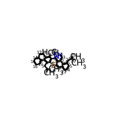 Cc1c2c(c(CC(C)C)c3c1ccc1ccccc13)Sc1cc3cccc(CC(C)C)c3c3cc[n+](C)c-2c13